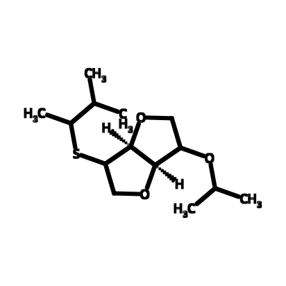 CC(C)OC1CO[C@@H]2C(SC(C)C(C)C)CO[C@H]12